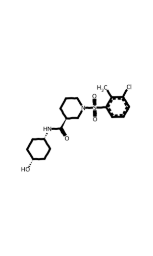 Cc1c(Cl)cccc1S(=O)(=O)N1CCC[C@H](C(=O)N[C@H]2CC[C@@H](O)CC2)C1